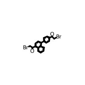 O=C(CBr)c1ccc(-c2ccc(C(=O)CBr)c3ccccc23)cc1